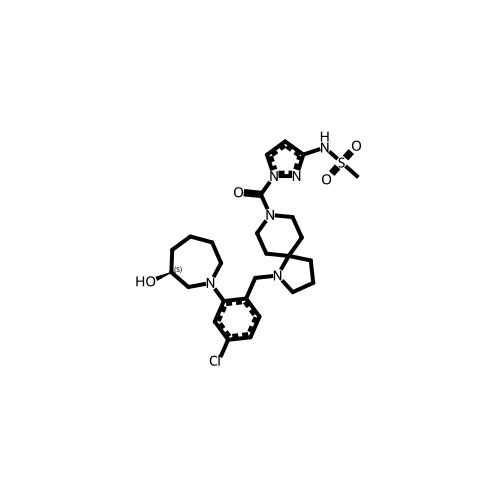 CS(=O)(=O)Nc1ccn(C(=O)N2CCC3(CCCN3Cc3ccc(Cl)cc3N3CCCC[C@H](O)C3)CC2)n1